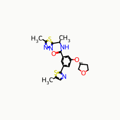 Cc1cnc(-c2cc(O[C@@H]3CCOC3)cc(C(=O)NC(C)c3nnc(C)s3)c2)s1